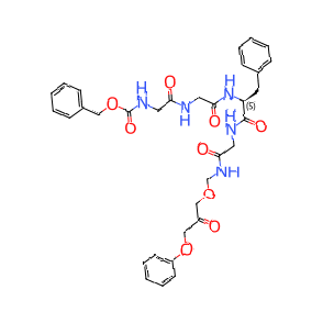 O=C(COCNC(=O)CNC(=O)[C@H](Cc1ccccc1)NC(=O)CNC(=O)CNC(=O)OCc1ccccc1)COc1ccccc1